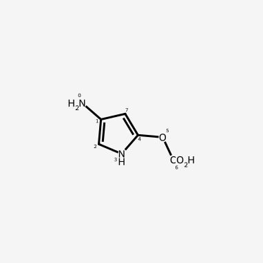 Nc1c[nH]c(OC(=O)O)c1